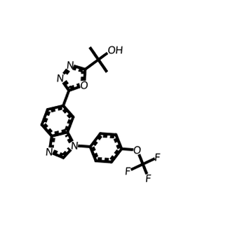 CC(C)(O)c1nnc(-c2ccc3ncn(-c4ccc(OC(F)(F)F)cc4)c3c2)o1